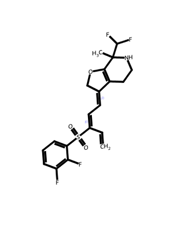 C=C/C(=C\C=C1/COC2=C1CCNC2(C)C(F)F)S(=O)(=O)c1cccc(F)c1F